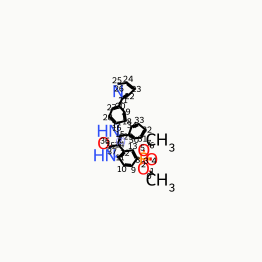 CCOP(=O)(OCC)c1ccc2c(c1)/C(=C(/Nc1ccc(-c3ccccn3)cc1)c1ccccc1)C(=O)N2